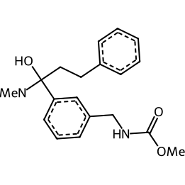 CNC(O)(CCc1ccccc1)c1cccc(CNC(=O)OC)c1